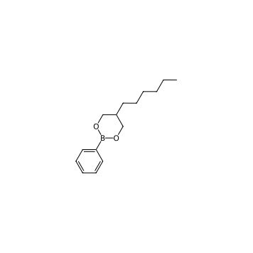 CCCCCCC1COB(c2ccccc2)OC1